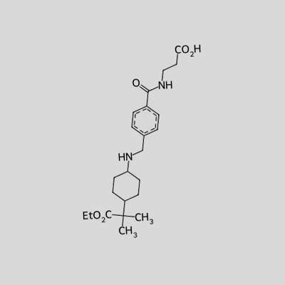 CCOC(=O)C(C)(C)C1CCC(NCc2ccc(C(=O)NCCC(=O)O)cc2)CC1